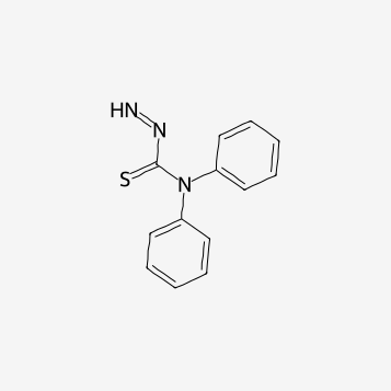 N=NC(=S)N(c1ccccc1)c1ccccc1